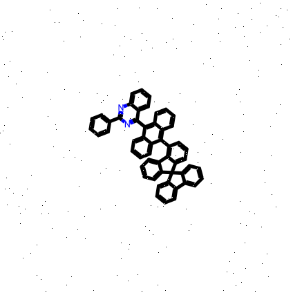 c1ccc(-c2nc(-c3c4ccccc4c(-c4cccc5c4-c4ccccc4C54c5ccccc5-c5ccccc54)c4ccccc34)c3ccccc3n2)cc1